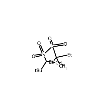 CCC(C)(CC)S(=O)(=O)S(=O)(=O)C(C)C(C)(C)C